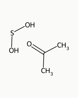 CC(C)=O.OSO